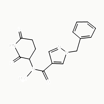 CN(C(=O)c1cnn(Cc2ccccc2)c1)C1CCC(=O)NC1=O